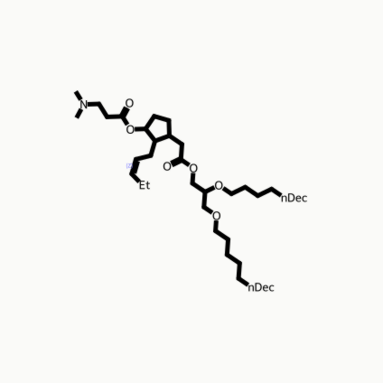 CC/C=C\CC1C(CC(=O)OCC(COCCCCCCCCCCCCCCC)OCCCCCCCCCCCCCC)CCC1OC(=O)CCN(C)C